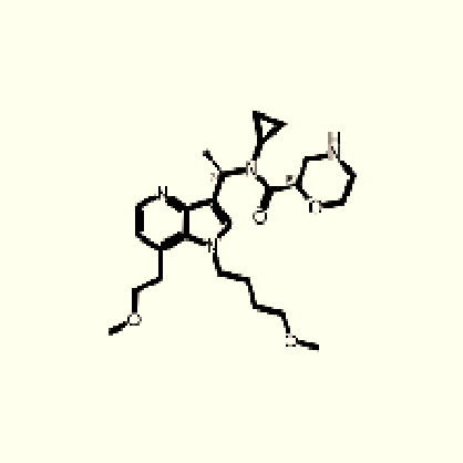 COCCCCn1cc([C@@H](C)N(C(=O)[C@H]2CNCCO2)C2CC2)c2nccc(CCOC)c21